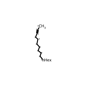 CC#CCCCCCCCCCCCCC